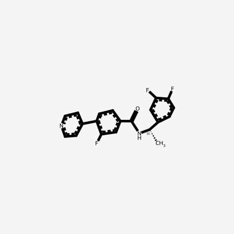 C[C@H](NC(=O)c1ccc(-c2ccncc2)c(F)c1)c1ccc(F)c(F)c1